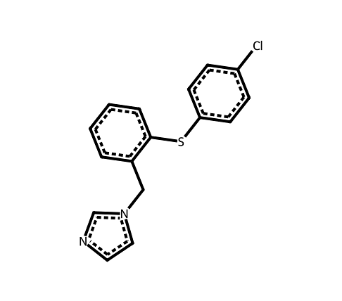 Clc1ccc(Sc2ccccc2Cn2ccnc2)cc1